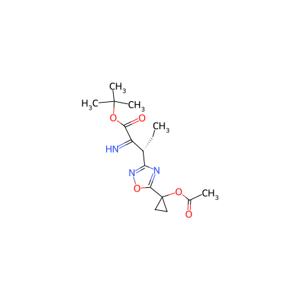 CC[C@@H](C(=N)C(=O)OC(C)(C)C)c1noc(C2(OC(C)=O)CC2)n1